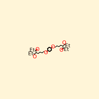 CCC(=O)C(CCCCOc1ccc(OCCCCC(C(=O)CC)C(=O)CC)cc1)C(=O)CC